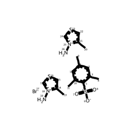 Cc1cc(C)c(S(=O)(=O)[O-])c(C)c1.Cc1csc[n+]1N.Cc1csc[n+]1N.[Br-]